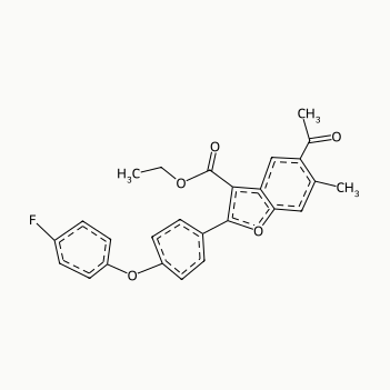 CCOC(=O)c1c(-c2ccc(Oc3ccc(F)cc3)cc2)oc2cc(C)c(C(C)=O)cc12